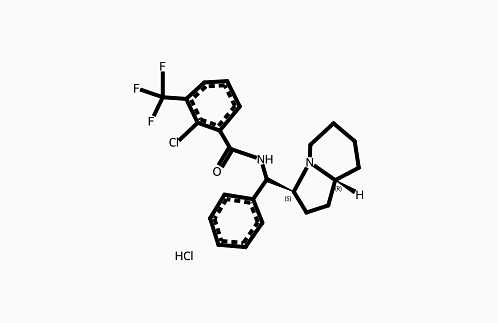 Cl.O=C(NC(c1ccccc1)[C@@H]1CC[C@H]2CCCCN21)c1cccc(C(F)(F)F)c1Cl